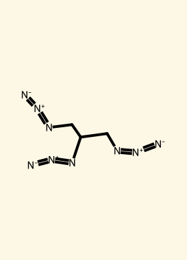 [N-]=[N+]=NCC(CN=[N+]=[N-])N=[N+]=[N-]